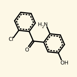 Nc1ccc(O)cc1C(=O)c1ccccc1Cl